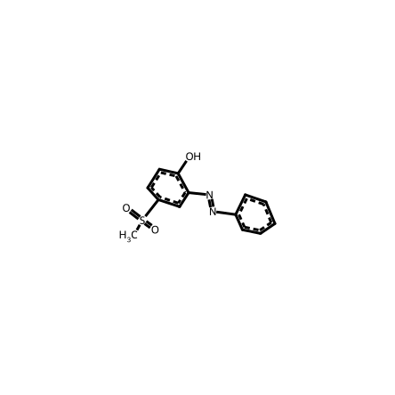 CS(=O)(=O)c1ccc(O)c(N=Nc2ccccc2)c1